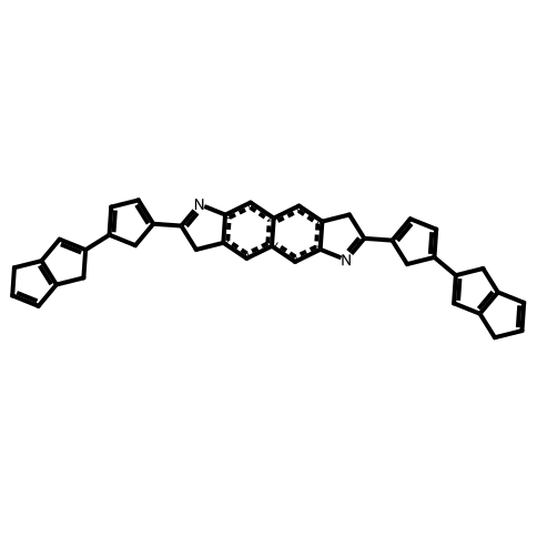 C1=CC2=C(C=C(C3=CC=C(C4=Nc5cc6cc7c(cc6cc5C4)N=C(C4=CC=C(C5=CC6=C(C=CC6)C5)C4)C7)C3)C2)C1